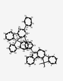 CC1(C)c2ccccc2-c2ccc3c(c21)c1ccccc1n3-c1ccc(-c2nc(-c3ccccc3)nc3c2[Si](c2ccccc2)(c2ccccc2)c2ccccc2-3)cc1